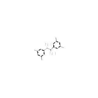 Cc1cc(C)cc(C(N)[C@H](N)c2cc(C)cc(C)c2)c1